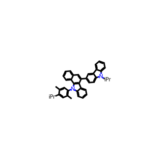 Cc1cc(-n2c3ccccc3c3c(-c4ccc5c(c4)c4ccccc4n5C(C)C)cc4ccccc4c32)c(C)cc1C(C)C